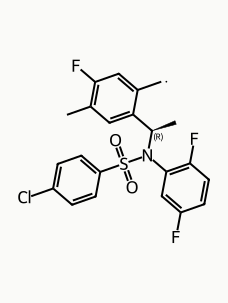 [CH2]c1cc(F)c(C)cc1[C@@H](C)N(c1cc(F)ccc1F)S(=O)(=O)c1ccc(Cl)cc1